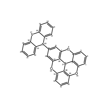 c1cc2c3c(c1)Oc1cc(N4c5ccccc5Sc5ccccc54)cc4c1B3c1c(cccc1O4)O2